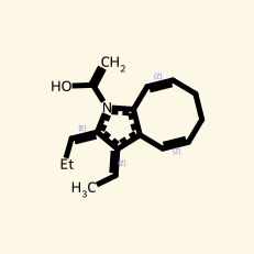 C=C(O)n1c2c(c(=C/C)/c1=C\CC)/C=C\CC/C=C\2